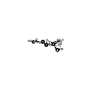 Cc1c(COc2cc(OCc3cncc(C#N)c3)c(CNC(C)(CO)C(=O)O)cc2Cl)cccc1-c1cccc(OCCC(=O)N2CC[C@@H](O)C2)c1